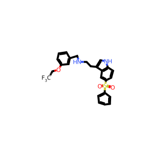 O=S(=O)(c1ccccc1)c1ccc2[nH]cc(CCNCc3cccc(OCC(F)(F)F)c3)c2c1